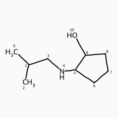 CC(C)CNC1CCCC1O